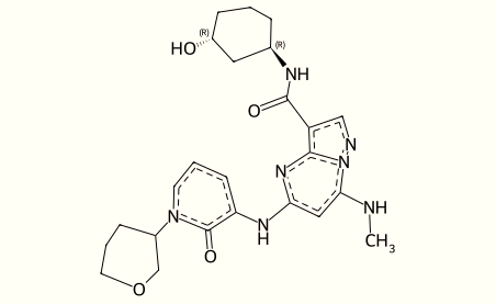 CNc1cc(Nc2cccn(C3CCCOC3)c2=O)nc2c(C(=O)N[C@@H]3CCC[C@@H](O)C3)cnn12